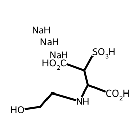 O=C(O)C(NCCO)C(C(=O)O)S(=O)(=O)O.[NaH].[NaH].[NaH]